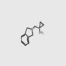 CC1(CN2Cc3ccccc3C2)CC1